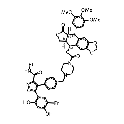 CCNC(=O)c1noc(-c2cc(C(C)C)c(O)cc2O)c1-c1ccc(CN2CCN(C(=O)O[C@@H]3c4cc5c(cc4[C@@H](c4cc(OC)c(OC)c(OC)c4)[C@H]4C(=O)OC[C@@H]43)OCO5)CC2)cc1